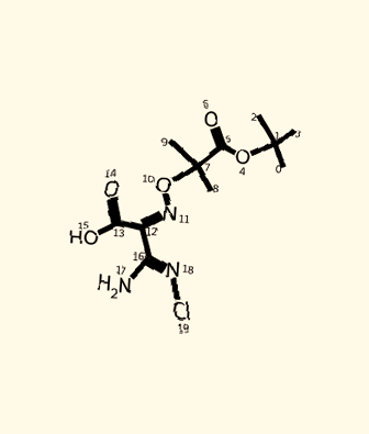 CC(C)(C)OC(=O)C(C)(C)ON=C(C(=O)O)C(N)=NCl